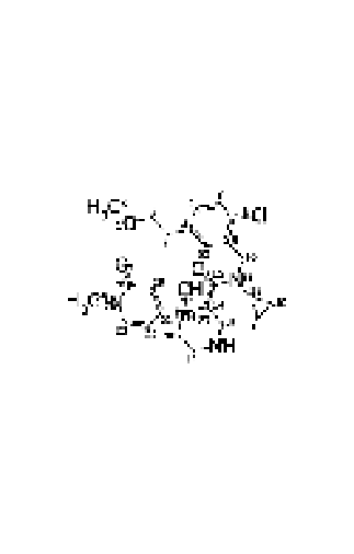 COCCc1ccc(Cl)c(CN(C(=O)[C@H]2CNCC[C@]2(C)c2ccn(C)c(=O)c2)C2CC2)c1